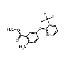 COC(=O)c1cc(Oc2ncccc2C(F)(F)F)ccc1N